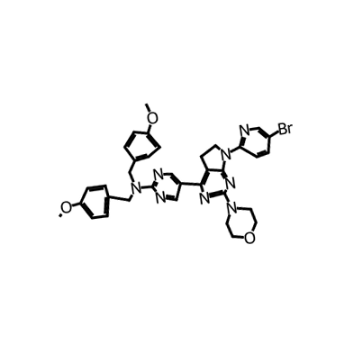 COc1ccc(CN(Cc2ccc(OC)cc2)c2ncc(-c3nc(N4CCOCC4)nc4c3CCN4c3ccc(Br)cn3)cn2)cc1